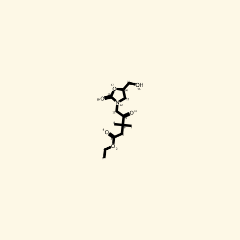 CCOC(=O)CC(C)(C)C(=O)CN1CC(CO)OC1=O